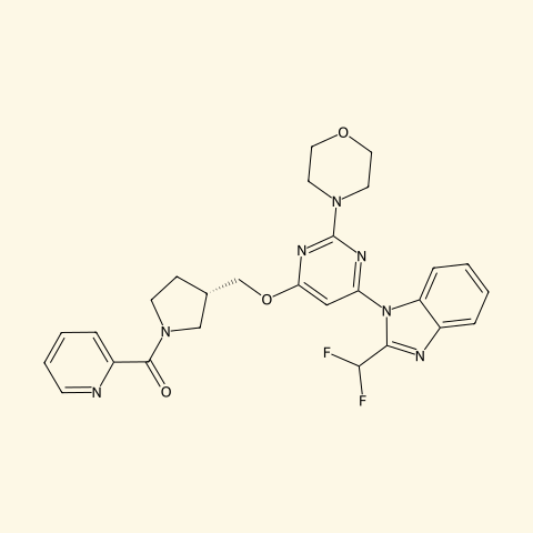 O=C(c1ccccn1)N1CC[C@H](COc2cc(-n3c(C(F)F)nc4ccccc43)nc(N3CCOCC3)n2)C1